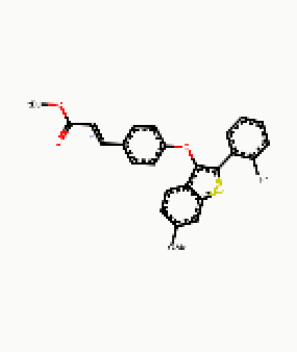 COc1ccc2c(Oc3ccc(/C=C/C(=O)OC(C)(C)C)cc3)c(-c3ccccc3C(C)C)sc2c1